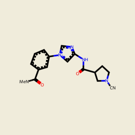 CNC(=O)c1cccc(-n2cnc(NC(=O)C3CCN(C#N)C3)c2)c1